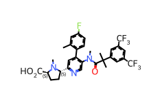 Cc1cc(F)ccc1-c1cc([C@@H]2CC[C@@H](C(=O)O)N2C)ncc1N(C)C(=O)C(C)(C)c1cc(C(F)(F)F)cc(C(F)(F)F)c1